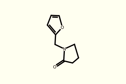 O=C1CCCN1Cc1ccco1